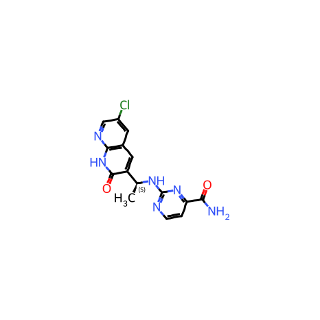 C[C@H](Nc1nccc(C(N)=O)n1)c1cc2cc(Cl)cnc2[nH]c1=O